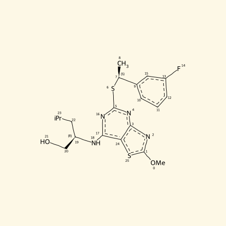 COc1nc2nc(S[C@@H](C)c3cccc(F)c3)nc(N[C@@H](CO)CC(C)C)c2s1